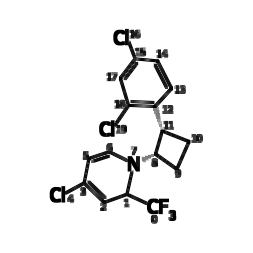 FC(F)(F)C1C=C(Cl)C=CN1[C@H]1CC[C@H]1c1ccc(Cl)cc1Cl